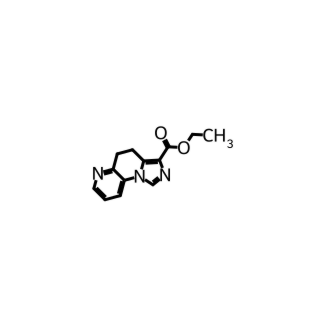 CCOC(=O)c1ncn2c1CCc1ncccc1-2